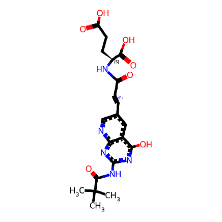 CC(C)(C)C(=O)Nc1nc(O)c2cc(/C=C/C(=O)N[C@@H](CCC(=O)O)C(=O)O)cnc2n1